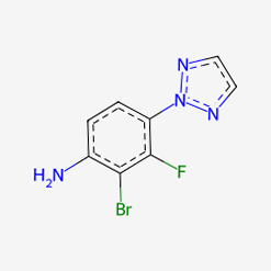 Nc1ccc(-n2nccn2)c(F)c1Br